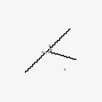 CCCCCCCCCCCCCCCCCC(=O)OCC(COC(=O)CCCCCCCCCCCCCCCCC)OC(=O)CCCCCCCCCCCCCCCCC.[Ti]